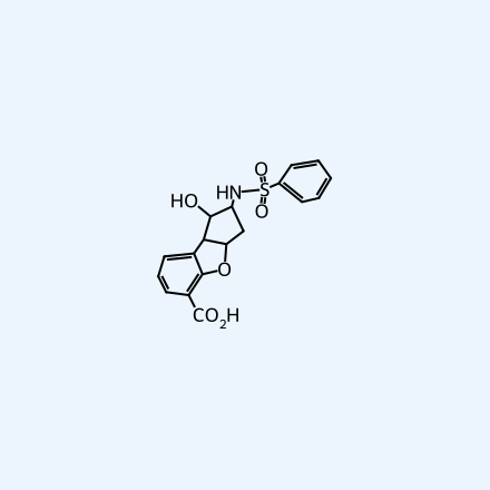 O=C(O)c1cccc2c1OC1CC(NS(=O)(=O)c3ccccc3)C(O)C21